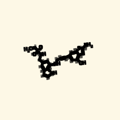 C=CS(=O)(=O)NCc1cc(NCC#Cc2cc(O)c3nc(N)sc3c2)c2[nH]ccc2c1